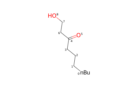 CCCCCCCC(=O)CCO